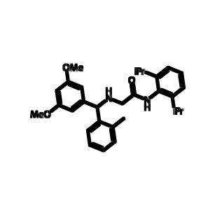 COc1cc(OC)cc(C(NCC(=O)Nc2c(C(C)C)cccc2C(C)C)c2ccccc2C)c1